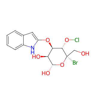 OC[C@@]1(Br)O[C@H](O)[C@@H](O)[C@@H](Oc2cc3ccccc3[nH]2)[C@@H]1OCl